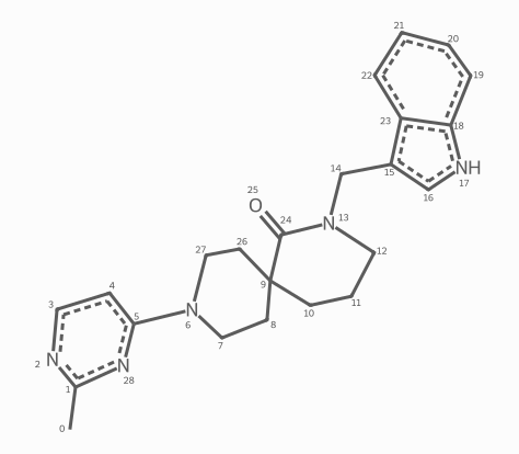 Cc1nccc(N2CCC3(CCCN(Cc4c[nH]c5ccccc45)C3=O)CC2)n1